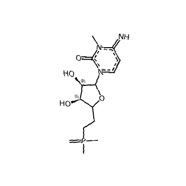 C=P(C)(C)CCC1OC(n2ccc(=N)n(C)c2=O)[C@H](O)[C@@H]1O